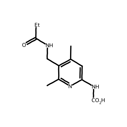 CCC(=O)NCc1c(C)cc(NC(=O)O)nc1C